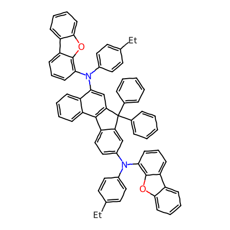 CCc1ccc(N(c2ccc3c(c2)C(c2ccccc2)(c2ccccc2)c2cc(N(c4ccc(CC)cc4)c4cccc5c4oc4ccccc45)c4ccccc4c2-3)c2cccc3c2oc2ccccc23)cc1